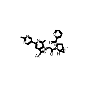 CC(=O)c1nn(CC(=O)N2[C@H](C(=O)c3ccccn3)C[C@@]3(C)C[C@@H]23)c2c(C)nc(-c3cnc(C)nc3)cc12